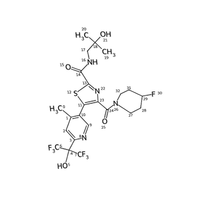 Cc1cc(C(O)(C(F)(F)F)C(F)(F)F)ncc1-c1sc(C(=O)NCC(C)(C)O)nc1C(=O)N1CCC(F)CC1